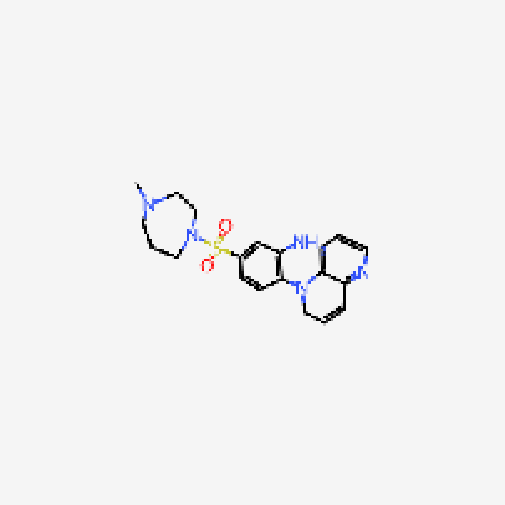 CN1CCCN(S(=O)(=O)c2ccc(N3CC=Cc4ncccc43)c(N)c2)CC1